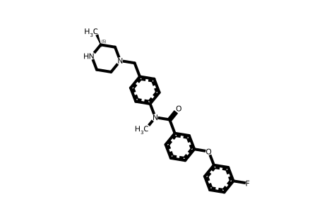 C[C@H]1CN(Cc2ccc(N(C)C(=O)c3cccc(Oc4cccc(F)c4)c3)cc2)CCN1